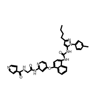 CCCCc1cc(NC(=O)Nc2ccc(Oc3ccnc(NC(=O)CNC(=O)c4ccncc4)c3)c3ccccc23)n(-c2ccc(C)cc2)n1